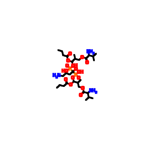 CCCC(=O)OC(OP(=O)(O)C(O)(CCCN)P(=O)(O)OC(OC(=O)CCC)C(C)COC(=O)[C@@H](N)C(C)C)C(C)COC(=O)[C@@H](N)C(C)C